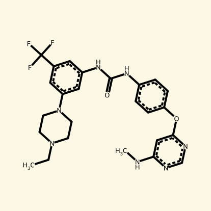 CCN1CCN(c2cc(NC(=O)Nc3ccc(Oc4cc(NC)ncn4)cc3)cc(C(F)(F)F)c2)CC1